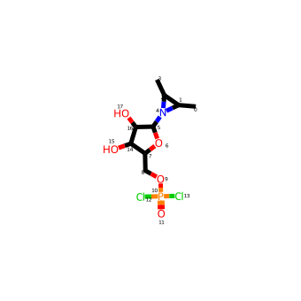 CC1C(C)N1C1OC(COP(=O)(Cl)Cl)C(O)C1O